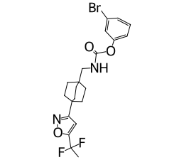 CC(F)(F)c1cc(C23CCC(CNC(=O)Oc4cccc(Br)c4)(CC2)CC3)no1